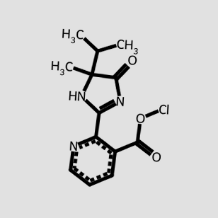 CC(C)C1(C)NC(c2ncccc2C(=O)OCl)=NC1=O